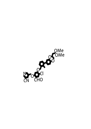 COC(CC1COc2ccc(-c3cccc(COc4cc(OCc5cncc(C#N)c5)c(C=O)cc4Cl)c3C)cc2O1)OC